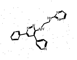 c1ccc(-c2cc(-c3ccncc3)c(NCCNc3ncccn3)nn2)cc1